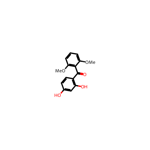 COc1cccc(OC)c1C(=O)c1ccc(O)cc1O